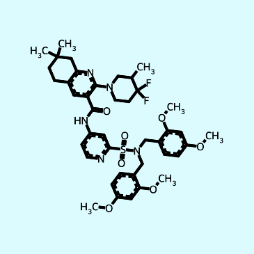 COc1ccc(CN(Cc2ccc(OC)cc2OC)S(=O)(=O)c2cc(NC(=O)c3cc4c(nc3N3CCC(F)(F)C(C)C3)CC(C)(C)CC4)ccn2)c(OC)c1